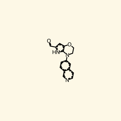 O=Cc1cc2c([nH]1)N(c1ccc3cnccc3c1)CCO2